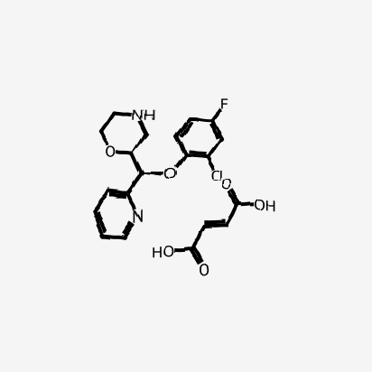 Fc1ccc(O[C@@H](c2ccccn2)[C@@H]2CNCCO2)c(Cl)c1.O=C(O)/C=C/C(=O)O